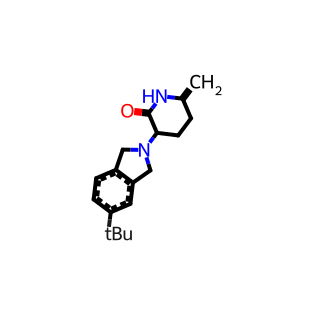 C=C1CCC(N2Cc3ccc(C(C)(C)C)cc3C2)C(=O)N1